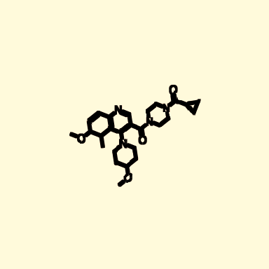 COC1CCN(c2c(C(=O)N3CCN(C(=O)C4CC4)CC3)cnc3c2C(C)C(OC)C=C3)CC1